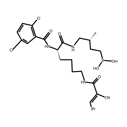 CC(C)C=C(C#N)C(=O)NCCCC[C@H](NC(=O)c1cc(Cl)ccc1Cl)C(=O)NC[C@H](C)CCB(O)O